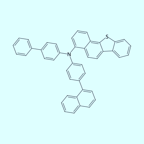 c1ccc(-c2ccc(N(c3ccc(-c4cccc5ccccc45)cc3)c3cccc4c3ccc3c5ccccc5sc43)cc2)cc1